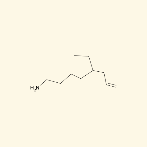 C=CCC(CC)CCCCN